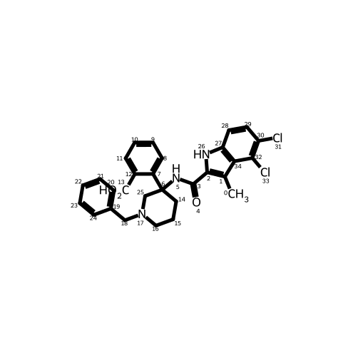 Cc1c(C(=O)NC2(c3ccccc3C(=O)O)CCCN(Cc3ccccc3)C2)[nH]c2ccc(Cl)c(Cl)c12